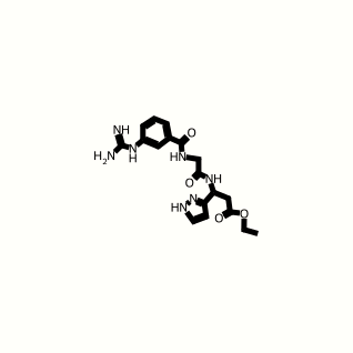 CCOC(=O)CC(NC(=O)CNC(=O)c1cccc(NC(=N)N)c1)c1cc[nH]n1